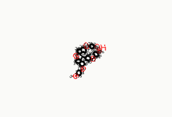 COc1ccc(Oc2ccc3c4c(ccc3c2)Oc2ccc3cc(Oc5ccc(O)cc5)ccc3c2C4c2cc(C)c(Oc3ccc(OC)cc3)c(C)c2)cc1